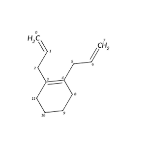 C=CCC1=C(CC=C)CCCC1